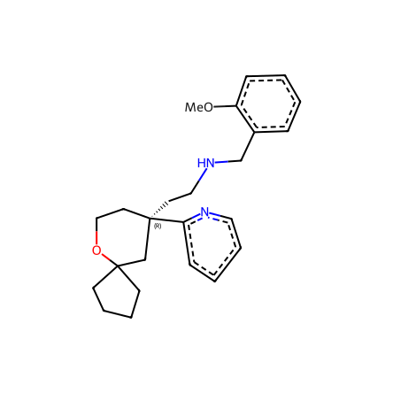 COc1ccccc1CNCC[C@@]1(c2ccccn2)CCOC2(CCCC2)C1